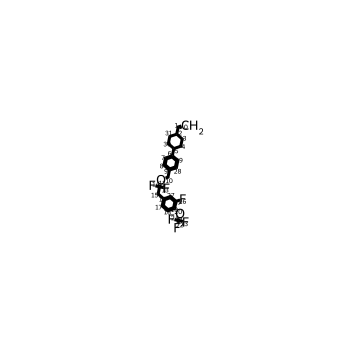 C=CC1CCC(c2ccc(COC(F)(F)Cc3ccc(OC(F)(F)F)c(F)c3)cc2)CC1